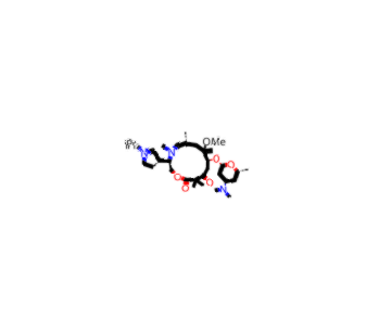 CO[C@]1(C)C[C@@H](C)CN(C)[C@H]([C@@H]2CCN(C(C)C)C2)COC(=O)C(C)(C)C(=O)C[C@H]1O[C@H]1C[C@@H](N(C)C)C[C@@H](C)O1